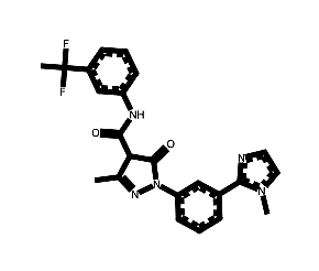 CC1=NN(c2cccc(-c3nccn3C)c2)C(=O)C1C(=O)Nc1cccc(C(C)(F)F)c1